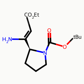 CCOC(=O)/C=C(\N)[C@@H]1CCCN1C(=O)OC(C)(C)C